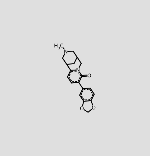 CN1CC2CC(C1)c1ccc(-c3ccc4c(c3)OCO4)c(=O)n1C2